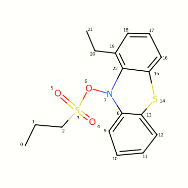 CCCS(=O)(=O)ON1c2ccccc2Sc2cccc(CC)c21